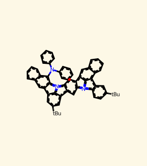 CC(C)(C)c1ccc2c(c1)c1c3ccccc3cc3c4cc5c(cc4n2c31)c1cc(C(C)(C)C)cc2c3cc4ccccc4c(N(c4ccccc4)c4ccccc4)c3n5c12